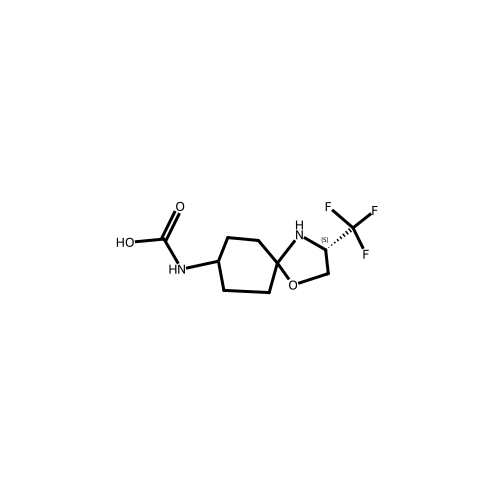 O=C(O)NC1CCC2(CC1)N[C@H](C(F)(F)F)CO2